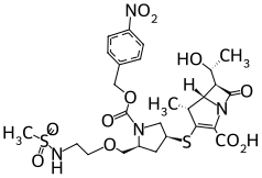 C[C@@H](O)[C@H]1C(=O)N2C(C(=O)O)=C(S[C@H]3C[C@@H](COCCNS(C)(=O)=O)N(C(=O)OCc4ccc([N+](=O)[O-])cc4)C3)[C@H](C)[C@H]12